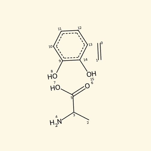 C=C.CC(N)C(=O)O.Oc1ccccc1O